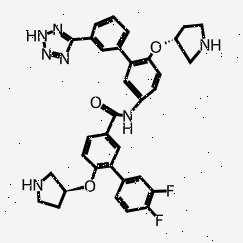 O=C(Nc1ccc(O[C@@H]2CCNC2)c(-c2cccc(-c3nn[nH]n3)c2)c1)c1ccc(O[C@H]2CCNC2)c(-c2ccc(F)c(F)c2)c1